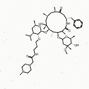 CO[C@]1(C)CC(O[C@@H]2C(C)C(=O)N[C@@H](Cc3ccccc3)CC(=O)N(C)C[C@H](C)C[C@@](C)(O)[C@H](O[C@@H]3O[C@H](C)C[C@H](N(C)C)[C@H]3OCCCNC(=O)CN3CCN(C)CC3)[C@H]2C)O[C@@H](C)[C@@H]1O